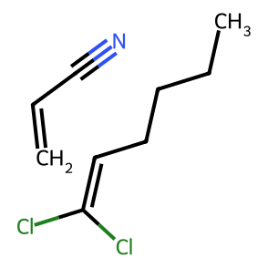 C=CC#N.CCCCC=C(Cl)Cl